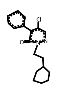 O=c1c(-c2ccccc2)c(Cl)cnn1CCC1CCCCC1